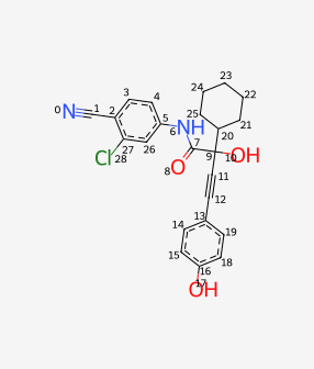 N#Cc1ccc(NC(=O)C(O)(C#Cc2ccc(O)cc2)C2CCCCC2)cc1Cl